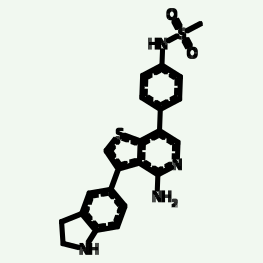 CS(=O)(=O)Nc1ccc(-c2cnc(N)c3c(-c4ccc5c(c4)CCN5)csc23)cc1